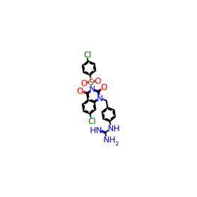 N=C(N)Nc1ccc(Cn2c(=O)n(S(=O)(=O)c3ccc(Cl)cc3)c(=O)c3ccc(Cl)cc32)cc1